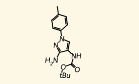 Cc1ccc(-n2cc(NC(=O)OC(C)(C)C)c(N)n2)cc1